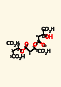 O=C(O)CC(OC(=O)CC(OC(=O)CC(O)C(=O)O)C(=O)O)C(=O)O